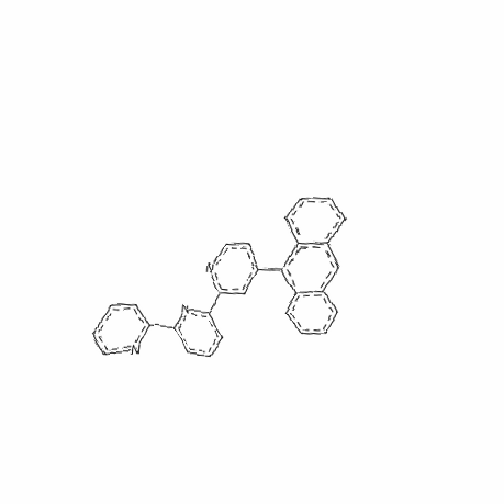 c1ccc(-c2cccc(-c3cc(-c4c5ccccc5cc5ccccc45)ccn3)n2)nc1